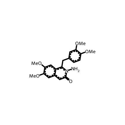 COc1ccc(Cc2c3cc(OC)c(OC)cc3cc(=O)n2N)cc1OC